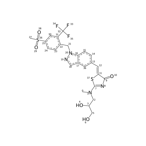 CN(CC(O)CO)C1=NC(=O)C(=Cc2ccc3c(cnn3Cc3ccc(S(C)(=O)=O)cc3C(F)(F)F)c2)S1